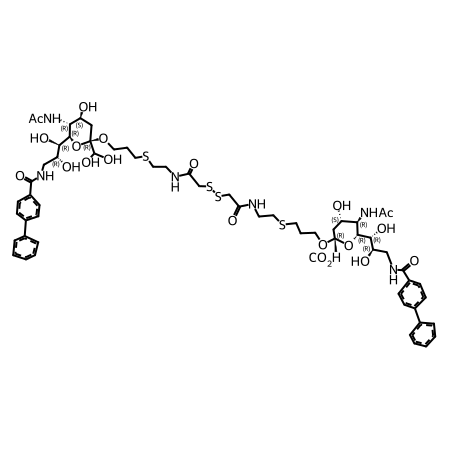 CC(=O)N[C@H]1[C@H]([C@H](O)[C@H](O)CNC(=O)c2ccc(-c3ccccc3)cc2)O[C@@](OCCCSCCNC(=O)CSSCC(=O)NCCSCCCO[C@]2(C(O)O)C[C@H](O)[C@@H](NC(C)=O)[C@H]([C@H](O)[C@H](O)CNC(=O)c3ccc(-c4ccccc4)cc3)O2)(C(=O)O)C[C@@H]1O